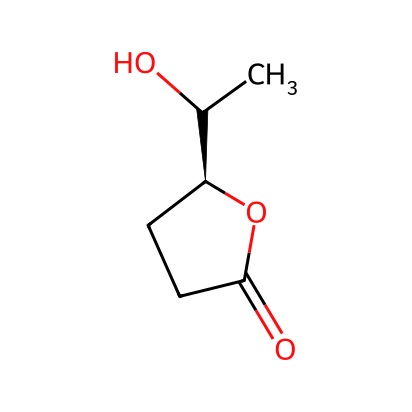 CC(O)[C@@H]1CCC(=O)O1